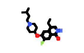 CCc1c[nH]c(=O)c2cc(F)c(OC3CCN(CCC(C)C)CC3)cc12